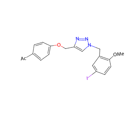 COc1ccc(I)cc1Cn1cc(COc2ccc(C(C)=O)cc2)nn1